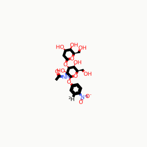 [2H]c1cc(O[C@@H]2O[C@H](CO)[C@@H](O)[C@H](OC3C[C@@H](O)[C@@H](O)[C@@H](CO)O3)[C@]2(O)NC(C)=O)ccc1[N+](=O)[O-]